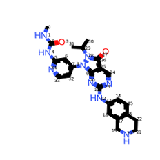 CNC(=O)Nc1cc(-n2c3nc(Nc4ccc5c(c4)CNCC5)ncc3c(=O)n2C(C)C)ccn1